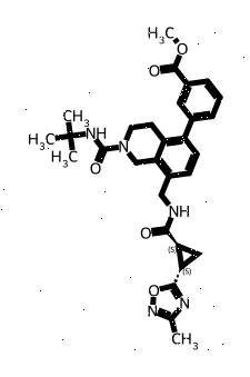 COC(=O)c1cccc(-c2ccc(CNC(=O)[C@H]3C[C@@H]3c3nc(C)no3)c3c2CCN(C(=O)NC(C)(C)C)C3)c1